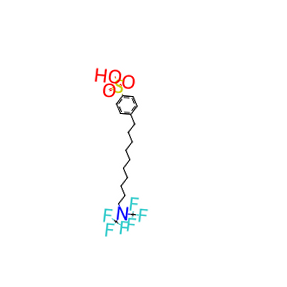 O=S(=O)(O)c1ccc(CCCCCCCCCCN(C(F)(F)F)C(F)(F)F)cc1